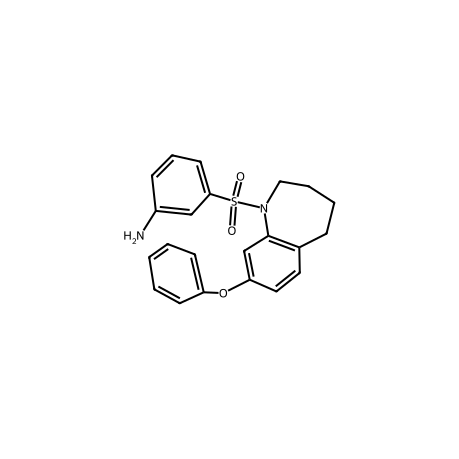 Nc1cccc(S(=O)(=O)N2CCCCc3ccc(Oc4ccccc4)cc32)c1